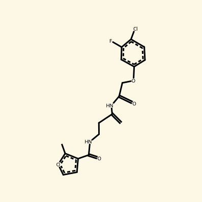 C=C(CCNC(=O)c1ccoc1C)NC(=O)COc1ccc(Cl)c(F)c1